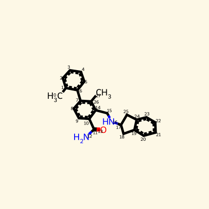 Cc1ccccc1-c1ccc(C(N)=O)c(CNC2Cc3ccccc3C2)c1C